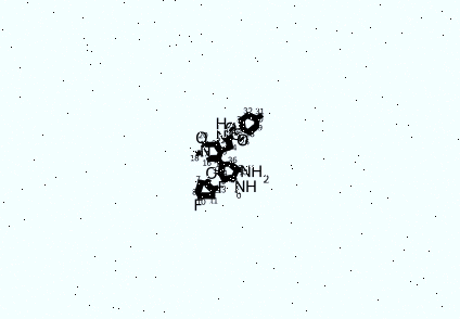 CNc1cc(Oc2ccc(F)cc2F)c(-c2cn(C)c(=O)c3[nH]c(S(=O)(=O)c4ccc(C)cc4)cc23)cc1N